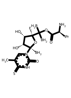 BC(B)(OC(=O)[C@@H](N)C(C)C)[C@@]1(F)O[C@@](B)(n2cc(C)c(=S)[nH]c2=O)[C@H](O)[C@@H]1O